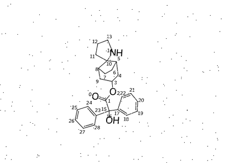 O=C(OC1CC2CCC(C1)C21CCCN1)C(O)(c1ccccc1)c1ccccc1